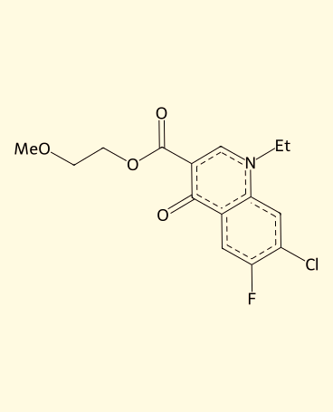 CCn1cc(C(=O)OCCOC)c(=O)c2cc(F)c(Cl)cc21